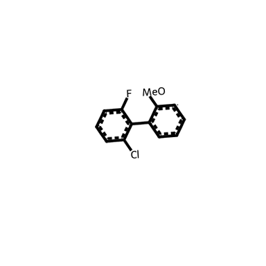 COc1[c]cccc1-c1c(F)cccc1Cl